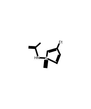 C#S1(NC(=C)C)C=CC(CC)=C1